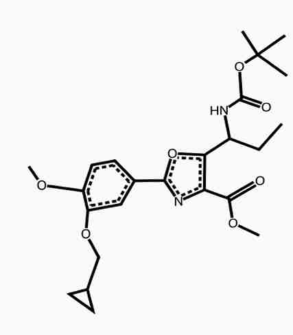 CCC(NC(=O)OC(C)(C)C)c1oc(-c2ccc(OC)c(OCC3CC3)c2)nc1C(=O)OC